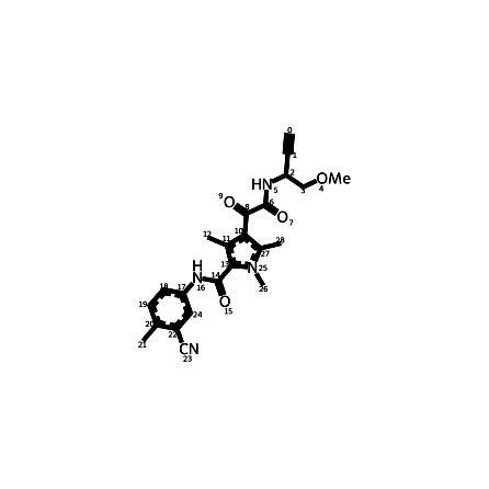 C#CC(COC)NC(=O)C(=O)c1c(C)c(C(=O)Nc2ccc(C)c(C#N)c2)n(C)c1C